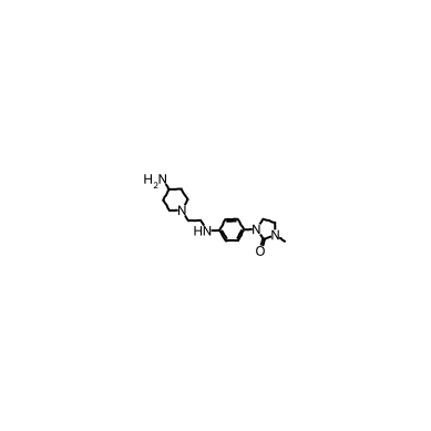 CN1CCN(c2ccc(NCCN3CCC(N)CC3)cc2)C1=O